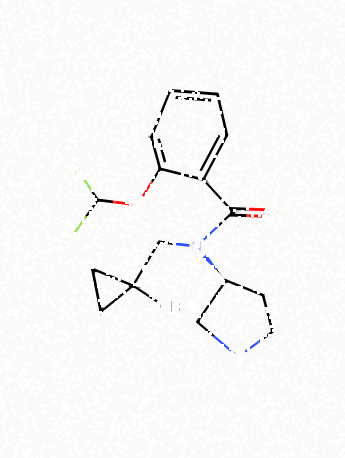 CC1(CN(C(=O)c2ccccc2OC(F)F)[C@H]2CCNC2)CC1